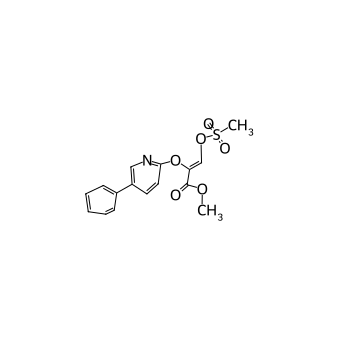 COC(=O)/C(=C/OS(C)(=O)=O)Oc1ccc(-c2ccccc2)cn1